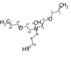 C=CCOCC[N+](C)(CCCS)CCOCC=C